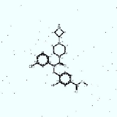 COC(=O)c1ccc(CN(C(=O)N2CCN(C3COC3)CC2)c2cccc(Cl)c2)c(F)c1